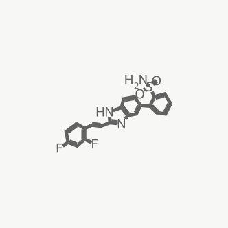 NS(=O)(=O)c1ccccc1-c1ccc2[nH]c(C=Cc3ccc(F)cc3F)nc2c1